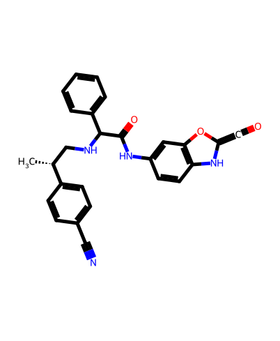 C[C@H](CNC(C(=O)Nc1ccc2c(c1)OC(=C=O)N2)c1ccccc1)c1ccc(C#N)cc1